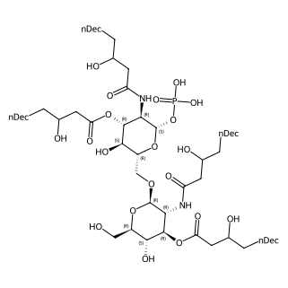 CCCCCCCCCCCC(O)CC(=O)N[C@H]1[C@H](OC[C@H]2O[C@@H](OP(=O)(O)O)[C@H](NC(=O)CC(O)CCCCCCCCCCC)[C@@H](OC(=O)CC(O)CCCCCCCCCCC)[C@@H]2O)O[C@H](CO)[C@@H](O)[C@@H]1OC(=O)CC(O)CCCCCCCCCCC